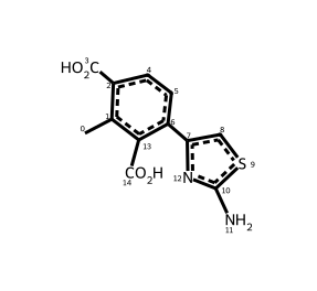 Cc1c(C(=O)O)ccc(-c2csc(N)n2)c1C(=O)O